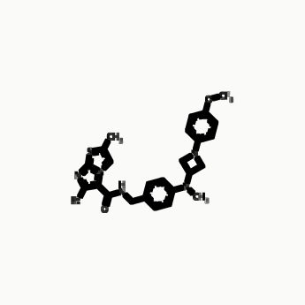 CCc1nc2sc(C)cn2c1C(=O)NCc1ccc(N(C)C2CN(c3ccc(OC(F)(F)F)cc3)C2)cc1